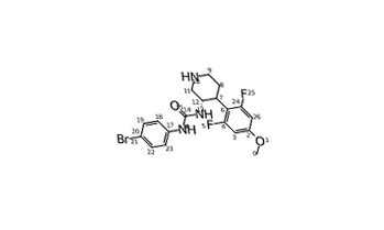 COc1cc(F)c(C2CCNC[C@H]2NC(=O)Nc2ccc(Br)cc2)c(F)c1